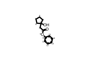 O=C(CC1(O)CCCC1)Oc1ccccc1